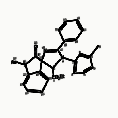 CCOC(=O)C1N(c2cccc(C)c2)C(c2ccccc2)=NC12C(=O)N(C(C)=O)c1ccccc12